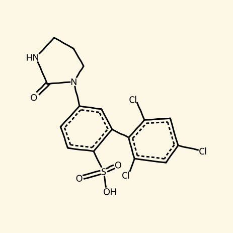 O=C1NCCCN1c1ccc(S(=O)(=O)O)c(-c2c(Cl)cc(Cl)cc2Cl)c1